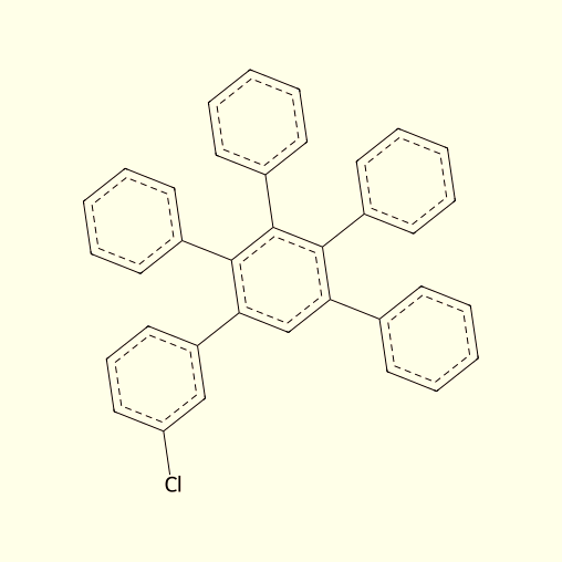 Clc1cccc(-c2cc(-c3ccccc3)c(-c3ccccc3)c(-c3ccccc3)c2-c2ccccc2)c1